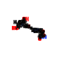 Cc1c(-c2ccc(O)cc2)n(Cc2ccc(OCCCCCN3CCN(c4ccc5occ(C6CCC(=O)NC6=O)c5c4)CC3)cc2)c2ccc(O)cc12